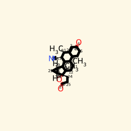 C[C@@H]1C2=CC(=O)CC[C@]2(C)C2CC[C@@]3(C)C(C2[C@@H]1C#N)[C@@H]1C[C@@H]1[C@]31CCC(=O)O1